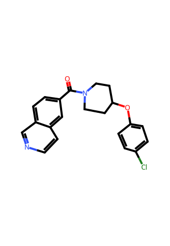 O=C(c1ccc2cnccc2c1)N1CCC(Oc2ccc(Cl)cc2)CC1